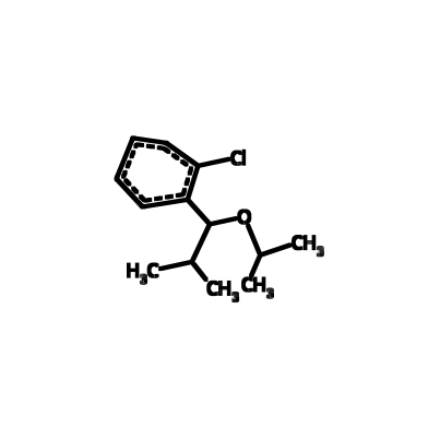 CC(C)OC(c1ccccc1Cl)C(C)C